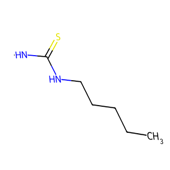 CCCCCNC([NH])=S